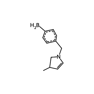 Bc1ccc(CN2C=CC(C)C2)cc1